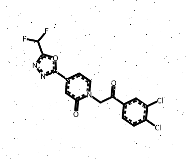 O=C(Cn1ccc(-c2nnc(C(F)F)o2)cc1=O)c1ccc(Cl)c(Cl)c1